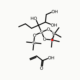 C=CC(=O)O.CCCC(O)(C(O)CO)[Si](O[Si](C)(C)C)(O[Si](C)(C)C)O[Si](C)(C)C